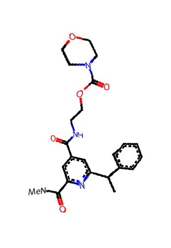 CNC(=O)c1cc(C(=O)NCCOC(=O)N2CCOCC2)cc(C(C)c2ccccc2)n1